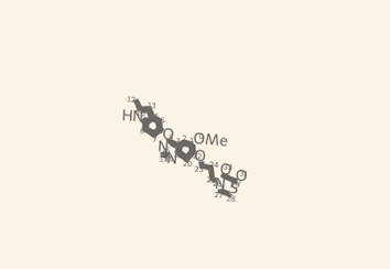 COc1cc2c(Oc3ccc4[nH]c(C)cc4c3)ncnc2cc1OCCCN1CCSC(=O)C1=O